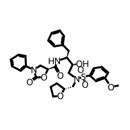 COc1cccc(S(=O)(=O)N(C[C@H]2CCCO2)C[C@H](O)[C@H](Cc2ccccc2)NC(=O)[C@@H]2CN(c3ccccc3)C(=O)O2)c1